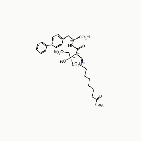 CCCCCCCC(=O)CCCCCC/C=C/[C@H](C(=O)N[C@@H](Cc1ccc(-c2ccccc2)cc1)C(=O)O)[C@@](O)(CC(=O)O)C(=O)O